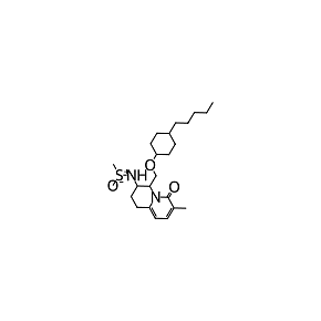 CCCCCC1CCC(OCC2C(N[S+](C)[O-])CCc3ccc(C)c(=O)n32)CC1